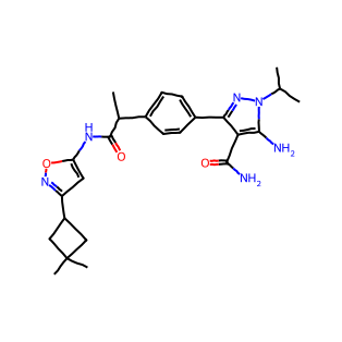 CC(C(=O)Nc1cc(C2CC(C)(C)C2)no1)c1ccc(-c2nn(C(C)C)c(N)c2C(N)=O)cc1